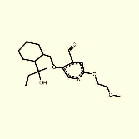 CCC(C)(O)C1CCCCC1COc1cnc(OCCOC)cc1C=O